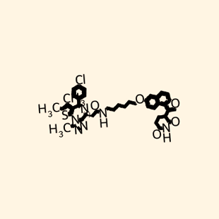 Cc1sc2c(c1C)C(c1ccc(Cl)cc1)=N[C@@H](CC(=O)NCCCCCCOc1ccc3c(ccc4occ(C5CCC(=O)NC5=O)c43)c1)c1nnc(C)n1-2